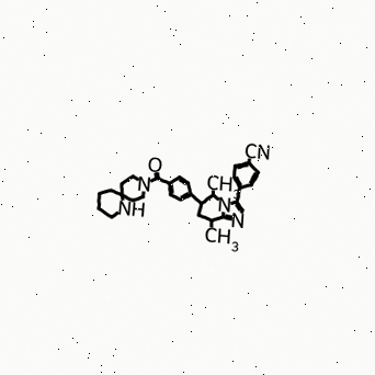 CC1CC(c2ccc(C(=O)N3CCC4(CCCCN4)CC3)cc2)C(C)n2c(-c3ccc(C#N)cc3)cnc21